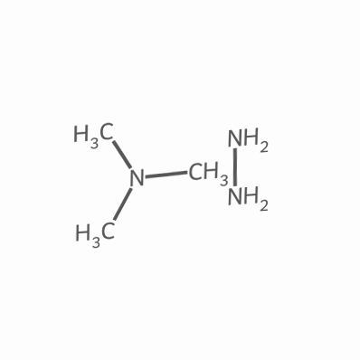 CN(C)C.NN